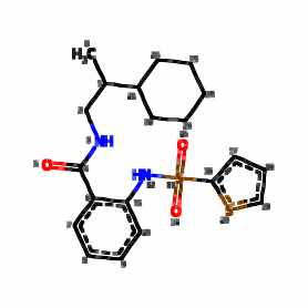 CC(CNC(=O)c1ccccc1NS(=O)(=O)c1cccs1)C1CCCCC1